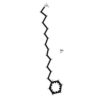 CCCCCCCCCCCCCCc1ccccc1.[Na]